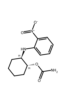 NC(=O)O[C@@H]1CCCC[C@H]1Nc1ccccc1[N+](=O)[O-]